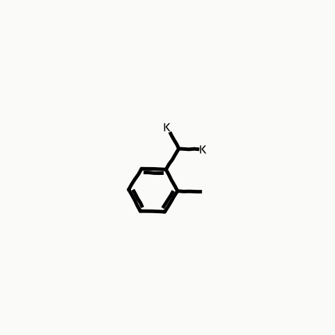 Cc1ccccc1[CH]([K])[K]